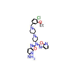 CCOc1cc(CN2CCC(N3CCC(N(c4nc5cccnc5o4)c4nc5ccc(N)nc5o4)CC3)CC2)ccc1Cl